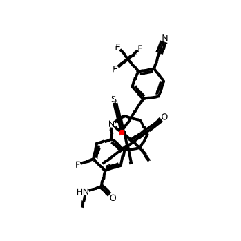 CNC(=O)c1cc2c(cc1F)N1CCCC2(C)CC(=O)N(c2ccc(C#N)c(C(F)(F)F)c2)C1=S